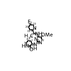 COc1cnc(Nc2ccc[nH]c2=O)nc1N[C@@H](C)c1ccc(F)cn1